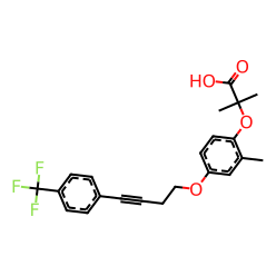 Cc1cc(OCCC#Cc2ccc(C(F)(F)F)cc2)ccc1OC(C)(C)C(=O)O